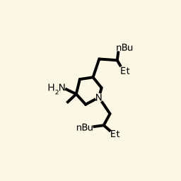 CCCCC(CC)CC1CN(CC(CC)CCCC)CC(C)(N)C1